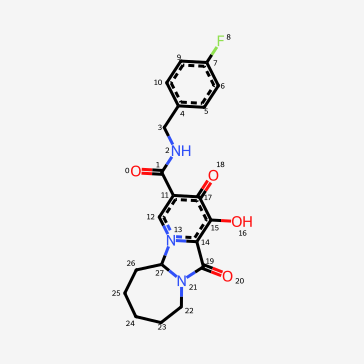 O=C(NCc1ccc(F)cc1)c1cn2c(c(O)c1=O)C(=O)N1CCCCCC12